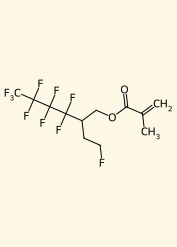 C=C(C)C(=O)OCC(CCF)C(F)(F)C(F)(F)C(F)(F)C(F)(F)F